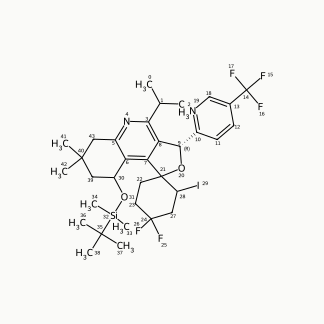 CC(C)c1nc2c(c3c1[C@H](c1ccc(C(F)(F)F)cn1)OC31CCC(F)(F)CC1I)C(O[Si](C)(C)C(C)(C)C)CC(C)(C)C2